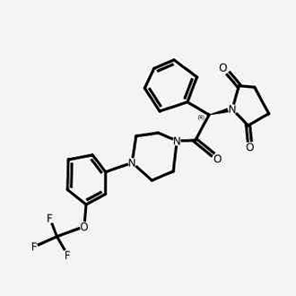 O=C([C@@H](c1ccccc1)N1C(=O)CCC1=O)N1CCN(c2cccc(OC(F)(F)F)c2)CC1